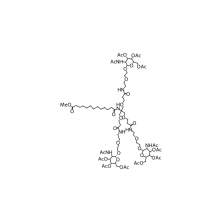 COC(=O)CCCCCCCCCCCC(=O)NC(COCCC(=O)NCCOCCO[C@@H]1OC(COC(C)=O)[C@H](OC(C)=O)C(OC(C)=O)C1NC(C)=O)(COCCC(=O)NCCOCCO[C@@H]1OC(COC(C)=O)[C@H](OC(C)=O)C(OC(C)=O)C1NC(C)=O)COCCC(=O)NCCOCCO[C@@H]1OC(COC(C)=O)[C@H](OC(C)=O)C(OC(C)=O)C1NC(C)=O